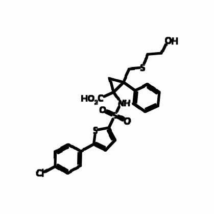 O=C(O)C1(NS(=O)(=O)c2ccc(-c3ccc(Cl)cc3)s2)CC1(CSCCO)c1ccccc1